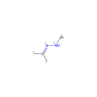 CC(C)=NNC(C)C